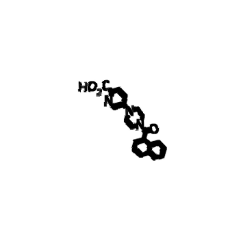 O=C(O)c1ccc(N2CCN(C(=O)c3cccc4ccccc34)CC2)cn1